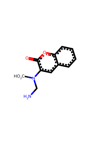 NCN(C(=O)O)c1cc2ccccc2oc1=O